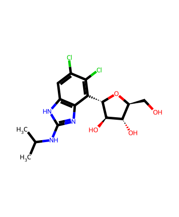 CC(C)Nc1nc2c([C@@H]3O[C@@H](CO)[C@H](O)[C@H]3O)c(Cl)c(Cl)cc2[nH]1